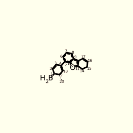 BC1C=CC(c2cccc3c4c(oc23)CCC=C4)=C[C@@H]1C